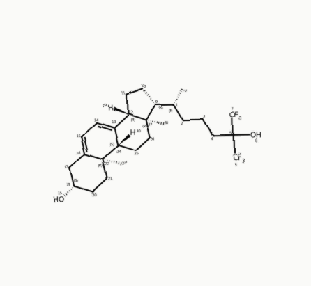 C[C@H](CCCC(O)(C(F)(F)F)C(F)(F)F)[C@H]1CC[C@H]2C3=CC=C4C[C@@H](O)CC[C@]4(C)[C@H]3CC[C@]12C